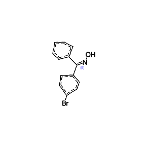 O/N=C(\c1ccccc1)c1ccc(Br)cc1